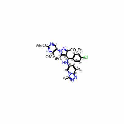 CCOC(=O)c1nn(-c2cnc(OC)nc2OC)c(C(C)C)c1C(Nc1cc(C)c2nnc(C)n2c1)c1ccc(Cl)cc1